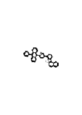 c1ccc(-c2c3ccccc3c(-c3ccc(-c4cccc5c4oc4ccc6ccccc6c45)cn3)c3ccccc23)cc1